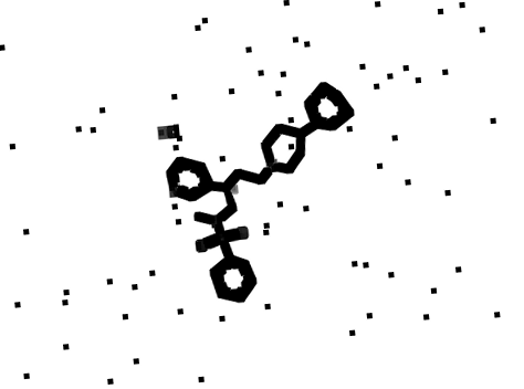 CN(C[C@H](CCN1CCC(c2ccccc2)CC1)c1cccnc1)S(=O)(=O)c1ccccc1.Cl